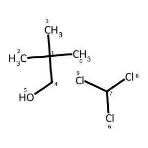 CC(C)(C)CO.ClC(Cl)Cl